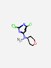 CN(c1cc(Cl)nc(Cl)n1)C1CCOCC1